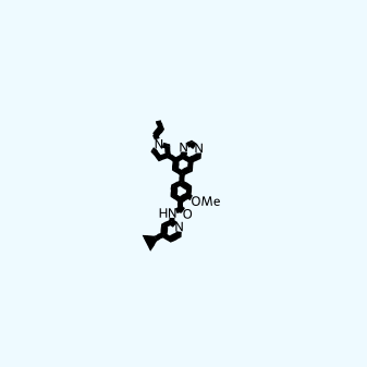 CC=CN1CCC(c2cc(-c3ccc(C(=O)Nc4cc(C5CC5)ccn4)c(OC)c3)cc3cncnc23)C1